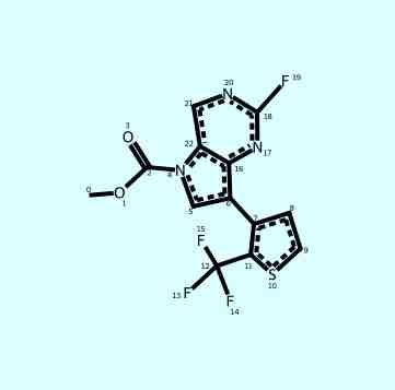 COC(=O)n1cc(-c2ccsc2C(F)(F)F)c2nc(F)ncc21